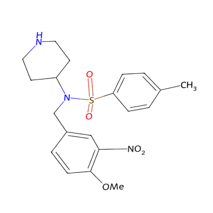 COc1ccc(CN(C2CCNCC2)S(=O)(=O)c2ccc(C)cc2)cc1[N+](=O)[O-]